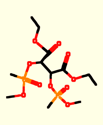 CCOC(=O)C(OP(C)(=O)OC)C(OP(C)(=O)OC)C(=O)OCC